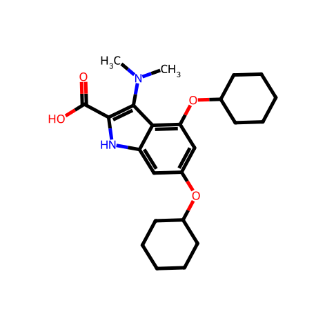 CN(C)c1c(C(=O)O)[nH]c2cc(OC3CCCCC3)cc(OC3CCCCC3)c12